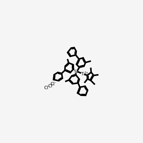 CC1=C(C)C(C)[C]([Ti+3][Si](c2cc(C)cc(-c3ccccc3)c2)(c2cc(C)cc(-c3ccccc3)c2)c2cc(C)cc(-c3ccccc3)c2)=C1C.[Cl-].[Cl-].[Cl-]